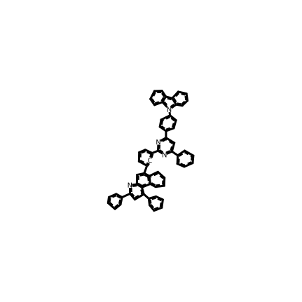 c1ccc(-c2cc(-c3ccc(-n4c5ccccc5c5ccccc54)cc3)nc(-c3cccc(-c4cc5nc(-c6ccccc6)cc(-c6ccccc6)c5c5ccccc45)c3)n2)cc1